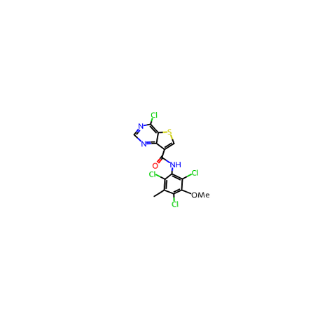 COc1c(Cl)c(C)c(Cl)c(NC(=O)c2csc3c(Cl)ncnc23)c1Cl